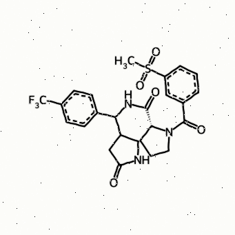 CS(=O)(=O)c1cccc(C(=O)N2CCC[C@@H]2C(=O)NC(c2ccc(C(F)(F)F)cc2)C2CNC(=O)C2)c1